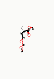 COCOCC[C@H](C)C(=O)OC